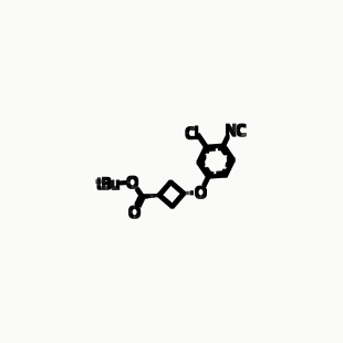 [C-]#[N+]c1ccc(O[C@H]2C[C@H](C(=O)OC(C)(C)C)C2)cc1Cl